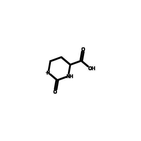 O=C1[N]CCC(C(=O)O)N1